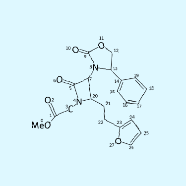 COC(=O)CN1C(=O)C(N2C(=O)OCC2c2ccccc2)C1CCc1ccco1